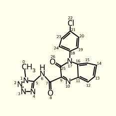 Cn1nnnc1NC(=O)c1nc2ccccc2n(-c2ccc(Cl)cc2)c1=O